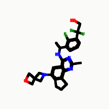 Cc1nc(NC(C)c2cccc(C(F)(F)CO)c2F)c2cc(N3CC4(COC4)C3)c3c(c2n1)CCC3